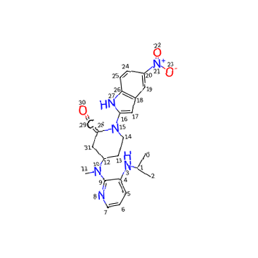 CC(C)Nc1cccnc1N(C)C1CCN(c2cc3cc([N+](=O)[O-])ccc3[nH]2)C(=C=O)C1